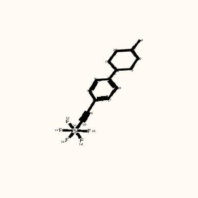 CC1CCC(c2ccc(C#CS(F)(F)(F)(F)F)cc2)CC1